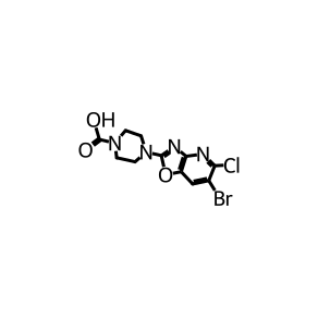 O=C(O)N1CCN(c2nc3nc(Cl)c(Br)cc3o2)CC1